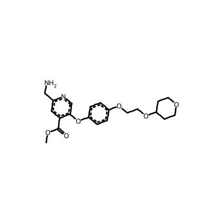 COC(=O)c1cc(CN)ncc1Oc1ccc(OCCOC2CCOCC2)cc1